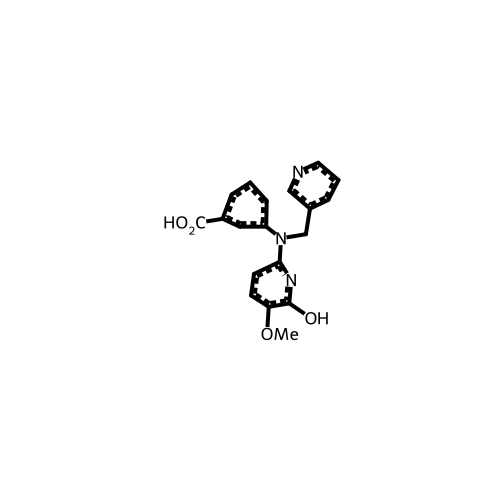 COc1ccc(N(Cc2cccnc2)c2cccc(C(=O)O)c2)nc1O